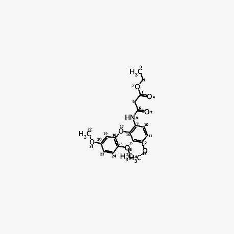 CCOC(=O)CC(=O)Nc1ccc(OC)cc1Oc1cc(OC)ccc1OC